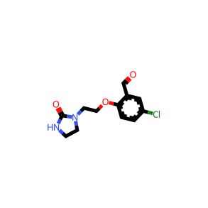 O=Cc1cc(Cl)ccc1OCCN1CCNC1=O